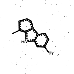 Cc1cccc2c1[nH]c1cc(C(C)C)ccc12